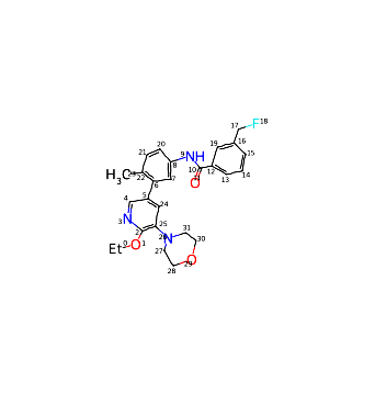 CCOc1ncc(-c2cc(NC(=O)c3cccc(CF)c3)ccc2C)cc1N1CCOCC1